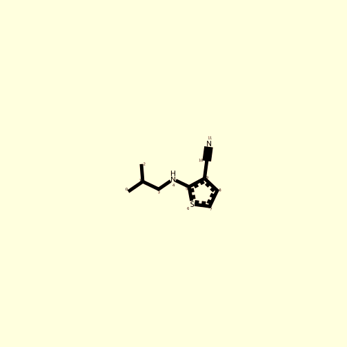 CC(C)CNc1sccc1C#N